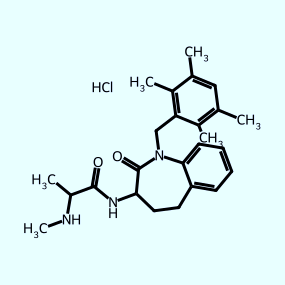 CNC(C)C(=O)NC1CCc2ccccc2N(Cc2c(C)c(C)cc(C)c2C)C1=O.Cl